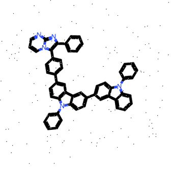 c1ccc(-c2nc3ncccn3c2-c2ccc(-c3ccc4c(c3)c3cc(-c5ccc6c(c5)c5ccccc5n6-c5ccccc5)ccc3n4-c3ccccc3)cc2)cc1